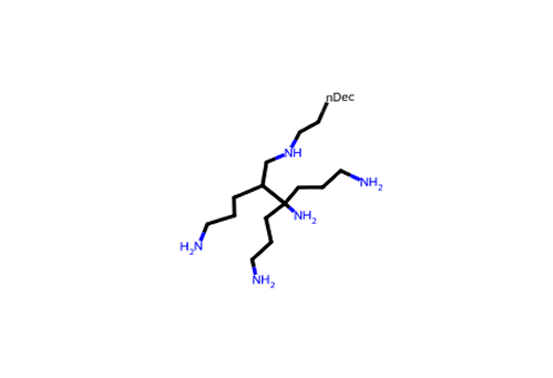 CCCCCCCCCCCCNCC(CCCN)C(N)(CCCN)CCCN